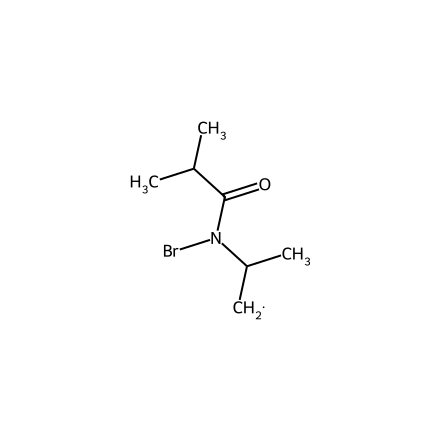 [CH2]C(C)N(Br)C(=O)C(C)C